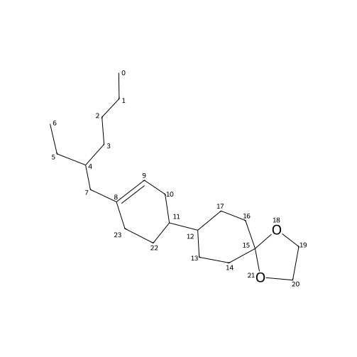 CCCCC(CC)CC1=CCC(C2CCC3(CC2)OCCO3)CC1